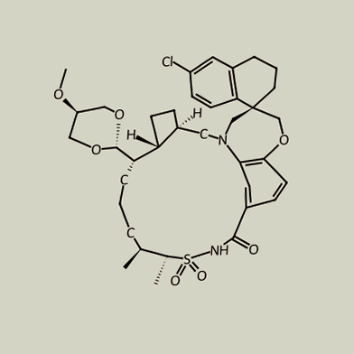 CO[C@H]1CO[C@H]([C@H]2CCC[C@H](C)[C@@H](C)S(=O)(=O)NC(=O)c3ccc4c(c3)N(C[C@@H]3CC[C@H]32)C[C@@]2(CCCc3cc(Cl)ccc32)CO4)OC1